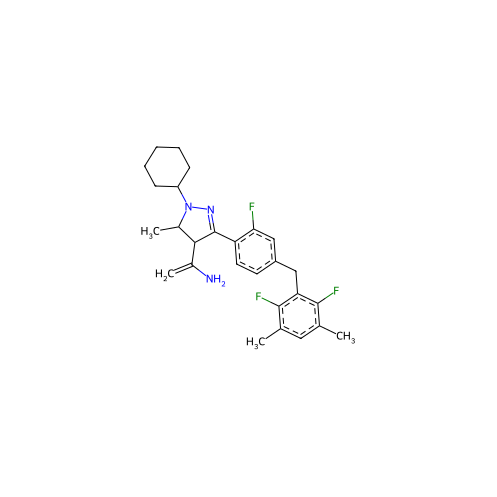 C=C(N)C1C(c2ccc(Cc3c(F)c(C)cc(C)c3F)cc2F)=NN(C2CCCCC2)C1C